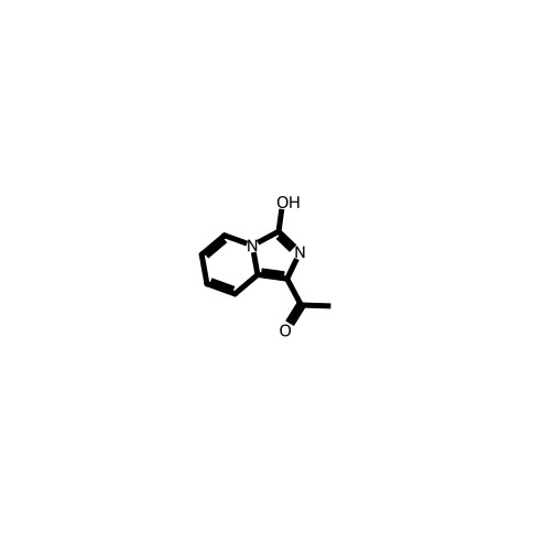 CC(=O)c1nc(O)n2ccccc12